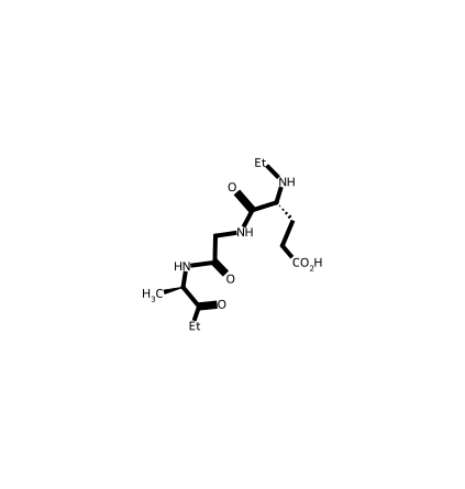 CCN[C@H](CCC(=O)O)C(=O)NCC(=O)N[C@H](C)C(=O)CC